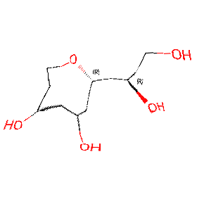 OC[C@@H](O)[C@H]1OCC(O)C1O